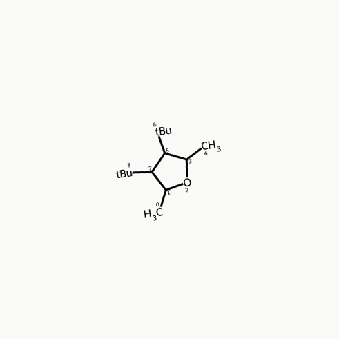 CC1OC(C)C(C(C)(C)C)C1C(C)(C)C